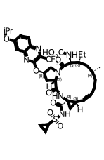 CC[C@@H]1C[C@H](C)CCC=C[C@@H]2C[C@@]2(C(=O)NS(=O)(=O)C2CC2)NC(=O)[C@@H]2C[C@@H](Oc3nc4cc(OC(C)C)ccc4nc3C(F)(F)F)CN2C(=O)[C@H]1NC(=O)O